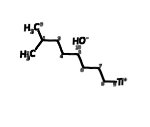 CC(C)CCCCC[CH2][Ti+].[OH-]